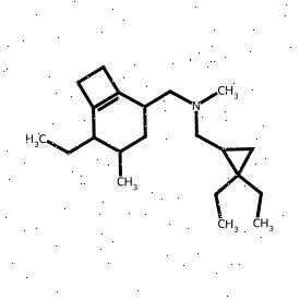 CCC1C2=C(CC2)C(CN(C)CC2CC2(CC)CC)CC1C